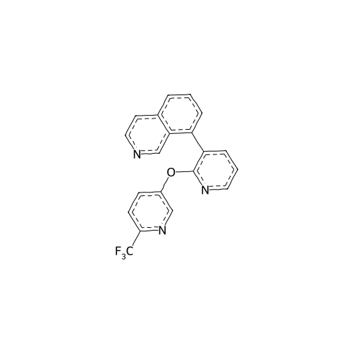 FC(F)(F)c1ccc(Oc2ncccc2-c2cccc3ccncc23)cn1